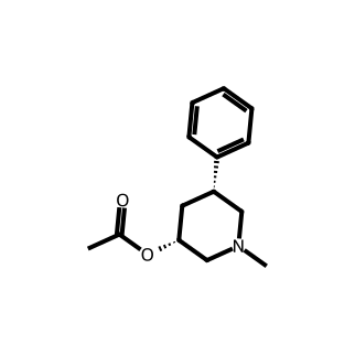 CC(=O)O[C@@H]1C[C@H](c2ccccc2)CN(C)C1